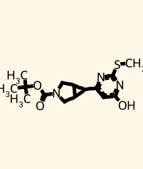 CSc1nc(O)cc(C2C3CN(C(=O)OC(C)(C)C)CC32)n1